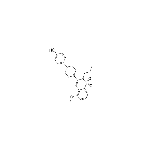 CCCN1C(N2CCN(c3ccc(O)cc3)CC2)=Cc2c(OC)cccc2S1(=O)=O